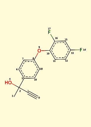 C#CC(C)(O)c1ccc(Oc2ccc(F)cc2F)cc1